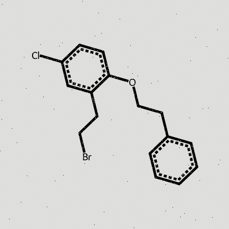 Clc1ccc(OCCc2ccccc2)c(CCBr)c1